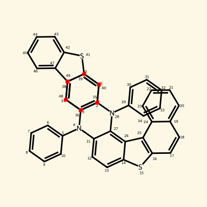 c1ccc(N(c2ccccc2)c2ccc3sc4ccc5ccccc5c4c3c2N(c2ccccc2)c2ccc3c(c2)sc2ccccc23)cc1